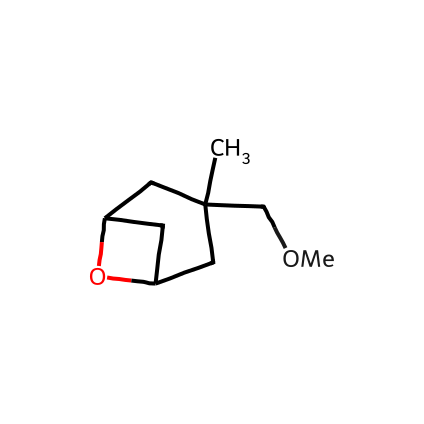 COCC1(C)CC2CC(C1)O2